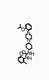 Cc1cccc(Cl)c1NC(=O)N[C@H]1CC[C@@H](N2CCN(c3ccccc3OC(C)C)CC2)CC1